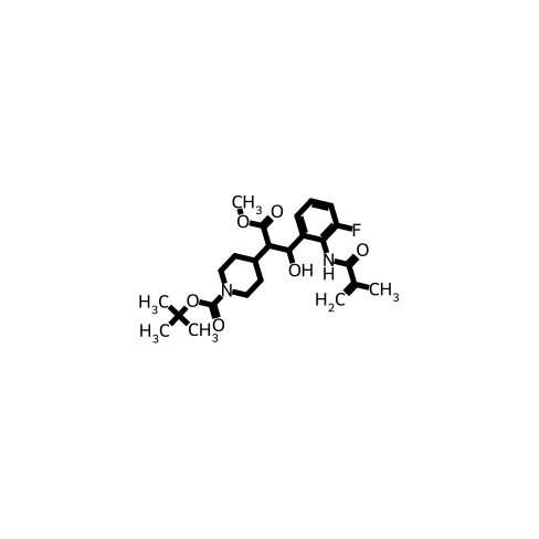 C=C(C)C(=O)Nc1c(F)cccc1C(O)C(C(=O)OC)C1CCN(C(=O)OC(C)(C)C)CC1